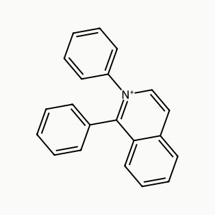 c1ccc(-c2c3ccccc3cc[n+]2-c2ccccc2)cc1